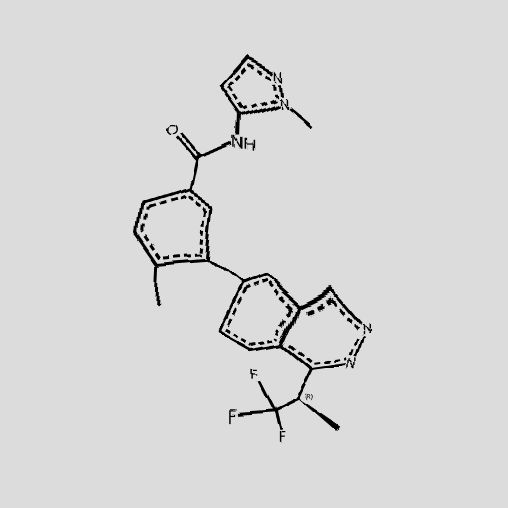 Cc1ccc(C(=O)Nc2ccnn2C)cc1-c1ccc2c([C@@H](C)C(F)(F)F)nncc2c1